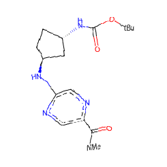 CNC(=O)c1cnc(N[C@H]2CC[C@H](NC(=O)OC(C)(C)C)C2)cn1